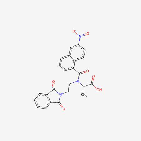 C[C@@H](C(=O)O)N(CCN1C(=O)c2ccccc2C1=O)C(=O)c1cccc2cc([N+](=O)[O-])ccc12